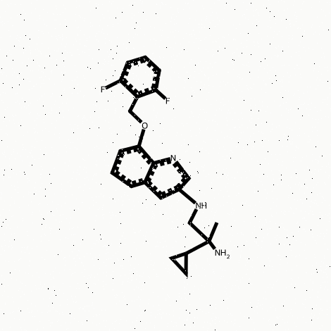 CC(N)(CNc1cnc2c(OCc3c(F)cccc3F)cccc2c1)C1CC1